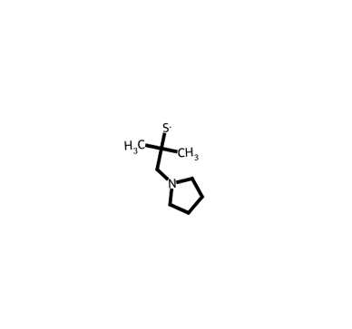 CC(C)([S])CN1CCCC1